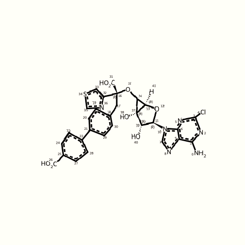 Nc1nc(Cl)nc2c1ncn2[C@@H]1O[C@@H]2C(O[C@@](Cc3ccc(-c4ccc(C(=O)O)cc4)cc3)(C(=O)O)c3cscn3)[C@]2(O)[C@H]1O